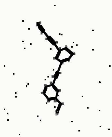 N#CC#Cc1cccc(C#Cc2cccc(C=O)c2)c1